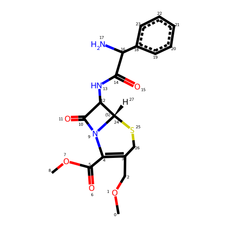 COCC1=C(C(=O)OC)N2C(=O)C(NC(=O)C(N)c3ccccc3)[C@@H]2SC1